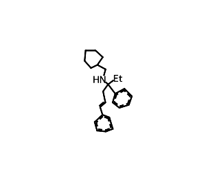 CCC(CC=Cc1ccccc1)(NCC1CCCCC1)c1ccccc1